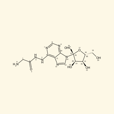 NCC(=O)NNc1ncnc2c1ncn2[C@]1(C=O)O[C@H](CO)[C@@H](O)[C@H]1O